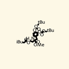 CCC(C)CC(=O)OCC[C@@](N)(Cc1ccc(OC(=O)OCC(C)(C)C)c(OC(=O)OCC(C)(C)C)c1)C(=O)OC